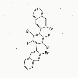 Fc1c(Br)c(-c2cc3ccccc3cc2Br)c(F)c(Br)c1-c1cc2ccccc2cc1Br